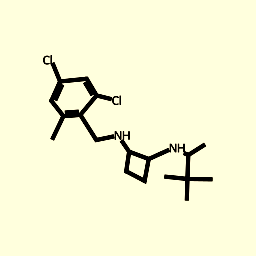 Cc1cc(Cl)cc(Cl)c1CNC1CCC1NC(C)C(C)(C)C